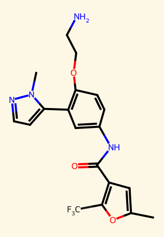 Cc1cc(C(=O)Nc2ccc(OCCN)c(-c3ccnn3C)c2)c(C(F)(F)F)o1